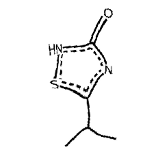 CC(C)c1nc(=O)[nH]s1